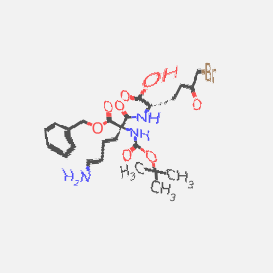 CC(C)(C)OC(=O)N[C@@](CCCCN)(C(=O)N[C@@H](CCC(=O)CBr)C(=O)O)C(=O)OCc1ccccc1